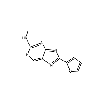 CNc1nc2nc(-c3ccco3)nc-2c[nH]1